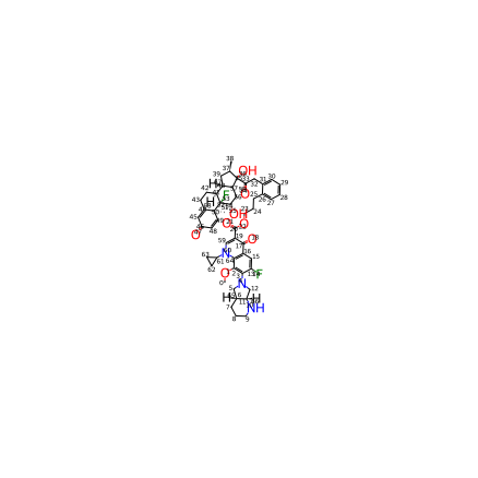 COc1c(N2C[C@H]3CCCN[C@H]3C2)c(F)cc2c(=O)c(C(=O)OCCCc3ccccc3CC(=O)[C@@]3(O)[C@H](C)C[C@H]4[C@@H]5CCC6=CC(=O)C=C[C@]6(C)[C@@]5(F)[C@@H](O)C[C@@]43C)cn(C3CC3)c12